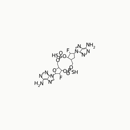 Nc1ncnc2c1ncn2C1CC2COP(=O)(S)OC3C(COP(=O)(S)OC2C1F)OC(n1cnc2c(N)ncnc21)C3F